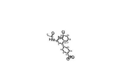 CC(=O)Nc1cc(-c2ccc([N+](=O)[O-])cc2)c2cccc(Cl)c2n1